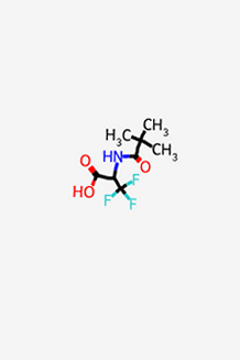 CC(C)(C)C(=O)NC(C(=O)O)C(F)(F)F